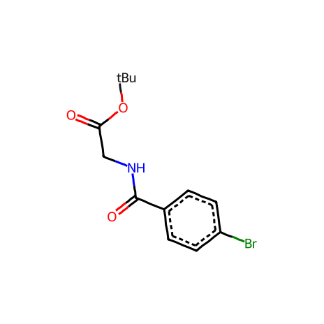 CC(C)(C)OC(=O)CNC(=O)c1ccc(Br)cc1